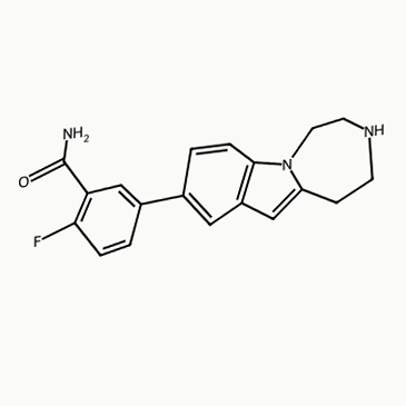 NC(=O)c1cc(-c2ccc3c(c2)cc2n3CCNCC2)ccc1F